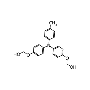 Cc1ccc(N(c2ccc(OCO)cc2)c2ccc(OCO)cc2)cc1